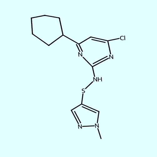 Cn1cc(SNc2nc(Cl)cc(C3CCCCC3)n2)cn1